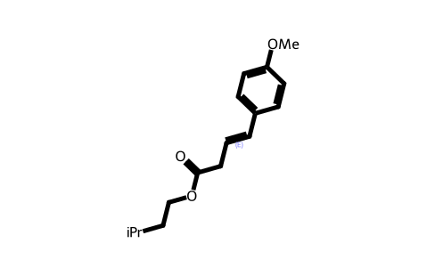 COc1ccc(/C=C/CC(=O)OCCC(C)C)cc1